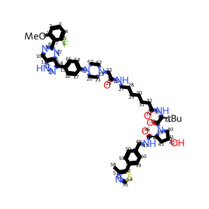 COc1cccc(F)c1-c1ncc2[nH]nc(-c3ccc(N4CCN(CC(=O)NCCCCCCC(=O)N[C@H](C(=O)N5C[C@H](O)C[C@H]5C(=O)NCc5ccc(-c6scnc6C)cc5)C(C)(C)C)CC4)cc3)c2n1